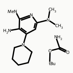 CC(C)(C)OC(N)=O.CNc1nc(N(C)C)cc(N2CCCCC2)c1N